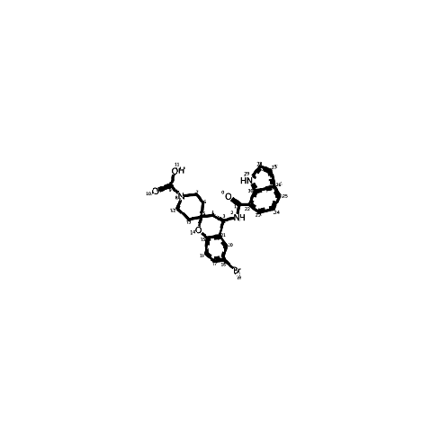 O=C(NC1CC2(CCN(C(=O)O)CC2)Oc2ccc(Br)cc21)c1cccc2cc[nH]c12